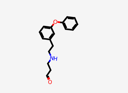 O=CCCNCCc1cccc(Oc2ccccc2)c1